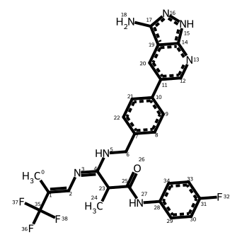 C/C(=C\N=C(\NCc1ccc(-c2cnc3[nH]nc(N)c3c2)cc1)C(C)C(=O)Nc1ccc(F)cc1)C(F)(F)F